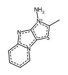 Cc1sc2c(nc3ccccn32)[n+]1N